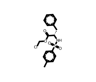 Cc1ccc(S(=O)(=O)N[C@@H](Cc2ccccc2)C(=O)OCCl)cc1